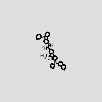 [2H]/C(=C(/[2H])c1ccc2c(c1)c1ccccc1n2-c1ccccc1)c1ccc2c(c1)C(C)(C)c1cc(N(c3ccccc3)c3ccc4ccccc4c3)ccc1-2